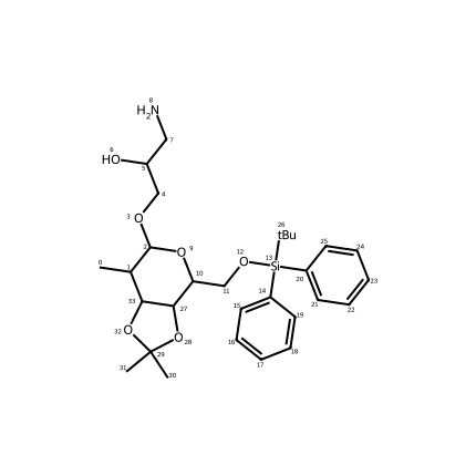 CC1C(OCC(O)CN)OC(CO[Si](c2ccccc2)(c2ccccc2)C(C)(C)C)C2OC(C)(C)OC12